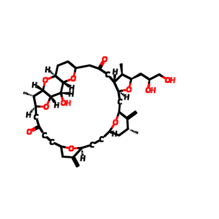 C=C1C2C[C@@H]3O[C@H](C[C@H](O)CO)[C@H](C)[C@H]3CC(=O)CC3CC[C@@H]4O[C@H]5[C@@H](C)[C@H](CC(=O)CCC6CC(=C)[C@H](CC[C@@H](C[C@H]1C)O2)O6)O[C@H]5[C@@H](O)[C@H]4O3